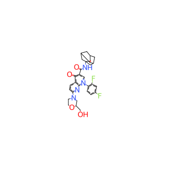 O=C(NC12CC3CC(CC(C3)C1)C2)c1cn(-c2ccc(F)cc2F)c2nc(N3CCOC(CO)C3)ccc2c1=O